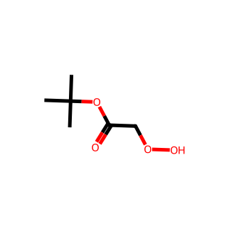 CC(C)(C)OC(=O)COO